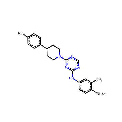 CC(=O)Nc1ccc(Nc2ncnc(N3CCC(c4ccc(C#N)cc4)CC3)n2)cc1C